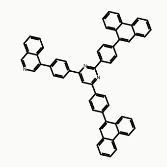 c1ccc2c(-c3ccc(-c4cc(-c5ccc(-c6cc7ccccc7c7ccccc67)cc5)nc(-c5ccc(-c6cc7ccccc7c7ccccc67)cc5)n4)cc3)cncc2c1